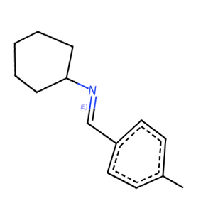 Cc1ccc(/C=N/C2CCCCC2)cc1